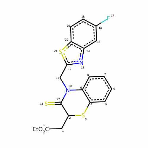 CCOC(=O)CC1Sc2ccccc2N(Cc2nc3cc(F)ccc3s2)C1=S